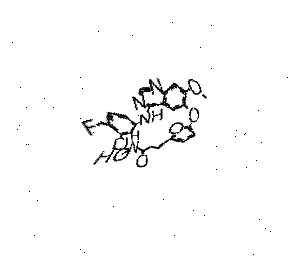 COc1cc2ncnc(Nc3ccc(F)c(Cl)c3)c2cc1Oc1ccc(CCC(=O)NO)o1